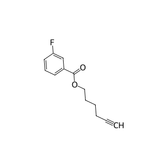 C#CCCCCOC(=O)c1cccc(F)c1